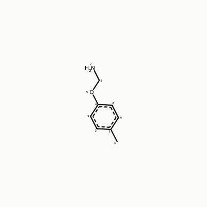 Cc1ccc(OCN)cc1